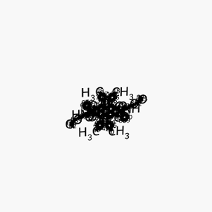 Cc1ccc(Oc2cc3c4c(cc(Oc5ccc(C)cc5)c5c6c(Oc7ccc(C)cc7)cc7c8c(cc(Oc9ccc(C)cc9)c(c2c45)c86)C(=O)N(C(C(=O)NCCOCC2CO2)c2ccccc2)C7=O)C(=O)N(C(C(=O)NCCOCC2CO2)c2ccccc2)C3=O)cc1